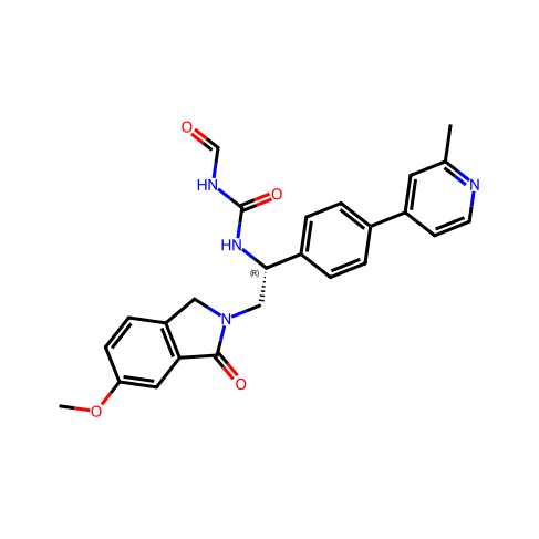 COc1ccc2c(c1)C(=O)N(C[C@H](NC(=O)NC=O)c1ccc(-c3ccnc(C)c3)cc1)C2